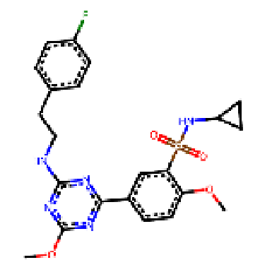 COc1nc(NCCc2ccc(F)cc2)nc(-c2ccc(OC)c(S(=O)(=O)NC3CC3)c2)n1